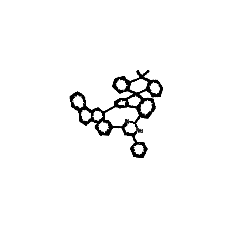 CC1(C)c2ccccc2C2(c3ccc(-c4ccc5ccc6ccccc6c5c4)cc3-c3c(C4N=C(c5ccccc5)C=C(c5ccccc5)N4)cccc32)c2ccccc21